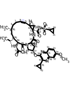 CC[C@@H]1C[C@H](C)CC/C=C\[C@@H]2C[C@@]2(C(=O)NS(=O)(=O)C2CC2)NC(=O)[C@@H]2C[C@@H](Oc3nc4ccc(OC)cc4nc3C3CC3)CN2C(=O)[C@H]1NC(=O)O